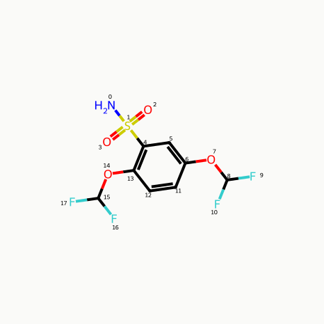 NS(=O)(=O)c1cc(OC(F)F)ccc1OC(F)F